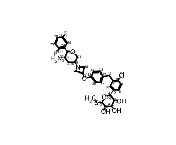 CS[C@H]1O[C@@H](c2ccc(Cl)c(Cc3ccc(OC4CN([C@@H]5CO[C@H](c6cc(F)ccc6F)[C@@H](N)C5)C4)cc3)c2)[C@H](O)[C@@H](O)[C@@H]1O